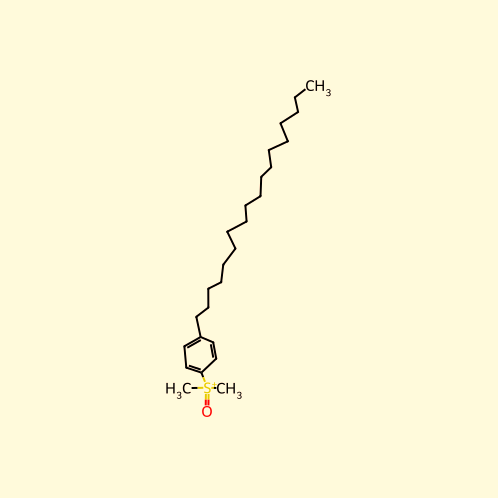 CCCCCCCCCCCCCCCCCCc1ccc([S+](C)(C)=O)cc1